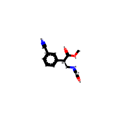 COC(=O)[C@H](CN=C=O)c1cccc(C#N)c1